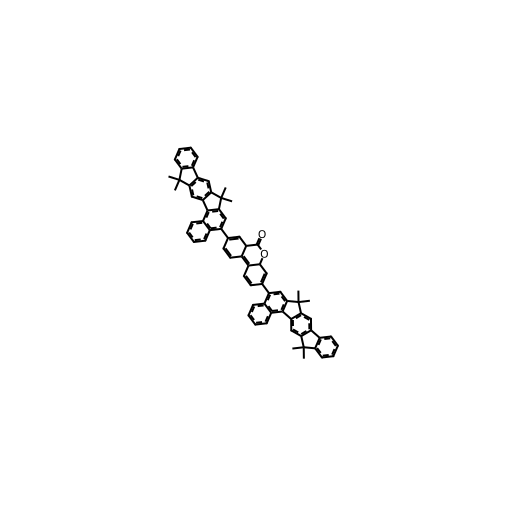 CC1(C)c2ccccc2-c2cc3c(cc21)-c1c(cc(C2=CC4OC(=O)C5C=C(c6cc7c(c8ccccc68)-c6cc8c(cc6C7(C)C)-c6ccccc6C8(C)C)C=CC5=C4C=C2)c2ccccc12)C3(C)C